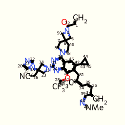 C=CC(=O)N1CC2(CCN(c3nc(N4CC(CC#N)(n5ccnc5)C4)nc4c(OCC(F)(F)F)c(C/C(C)=C\C=C/C(=C)/C=N\NC)c(C5CC5)cc34)CC2)C1